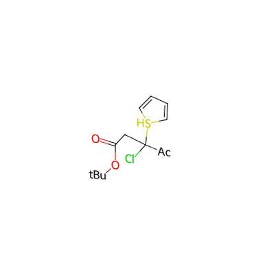 CC(=O)C(Cl)(CC(=O)OC(C)(C)C)[SH]1C=CC=C1